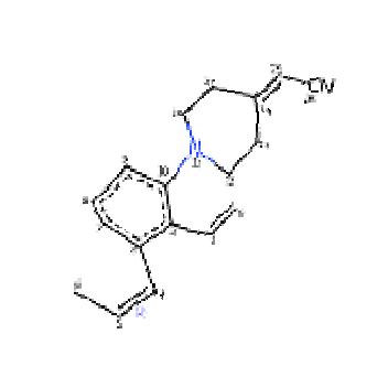 C=Cc1c(/C=C\C)cccc1N1CCC(=CC#N)CC1